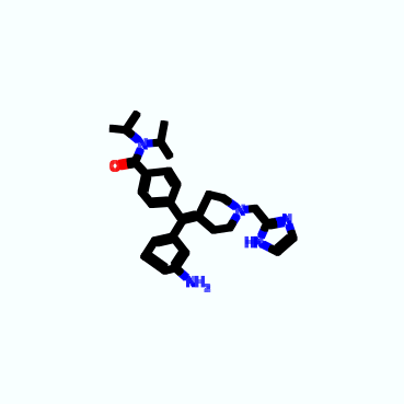 CC(C)N(C(=O)c1ccc(C(=C2CCN(Cc3ncc[nH]3)CC2)c2cccc(N)c2)cc1)C(C)C